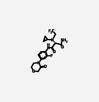 NC(=O)[C@H](C(=O)Nc1ccc(N2CCOCC2=O)cc1F)N(CC(F)(F)F)C1CC1